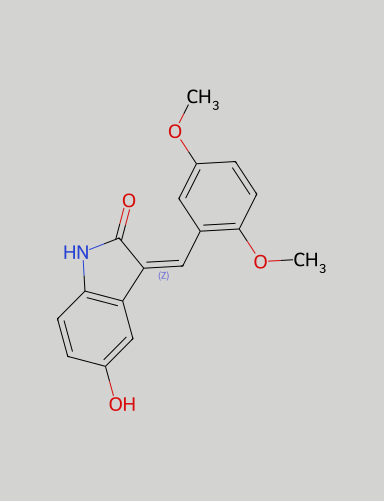 COc1ccc(OC)c(/C=C2\C(=O)Nc3ccc(O)cc32)c1